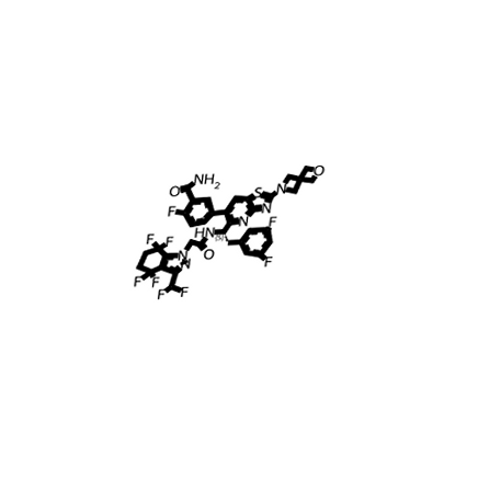 NC(=O)c1cc(-c2cc3sc(N4CC5(COC5)C4)nc3nc2[C@H](Cc2cc(F)cc(F)c2)NC(=O)Cn2nc(C(F)F)c3c2C(F)(F)CCC3(F)F)ccc1F